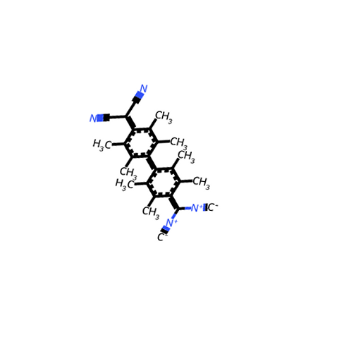 [C-]#[N+]C([N+]#[C-])=c1c(C)c(C)c(=c2c(C)c(C)c(=C(C#N)C#N)c(C)c2C)c(C)c1C